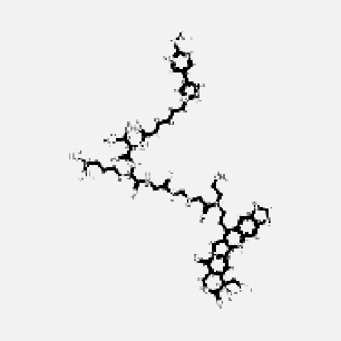 CCCN(CCc1c2c(nc3cc4c(cc13)OCO4)-c1cc3c(c(=O)n1C2)COC(=O)[C@]3(O)CC)C(=O)COCNC(=O)CNC(=O)[C@H](CCCCN(C)C)NC(=O)[C@@H](NC(=O)CCCCCn1cc(-c2cnc(SC)nc2)nn1)C(C)C